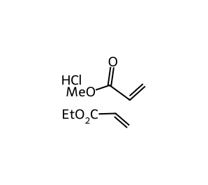 C=CC(=O)OC.C=CC(=O)OCC.Cl